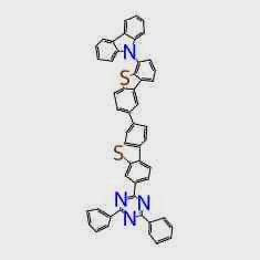 c1ccc(-c2nc(-c3ccccc3)nc(-c3ccc4c(c3)sc3cc(-c5ccc6sc7c(-n8c9ccccc9c9ccccc98)cccc7c6c5)ccc34)n2)cc1